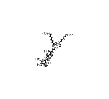 CCCCCCCCCCCCCCCCC(=O)OC[C@H](CSC[C@@H](N)C(=O)Nc1cn([C@H]2OC(CO)C(O)C(O)C2O)nn1)OC(=O)CCCCCCCCCCCCCCCC